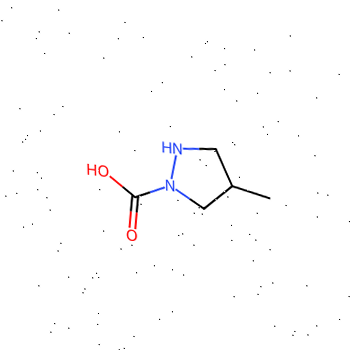 CC1CNN(C(=O)O)C1